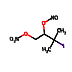 CC(C)(I)C(CO[N+](=O)[O-])ON=O